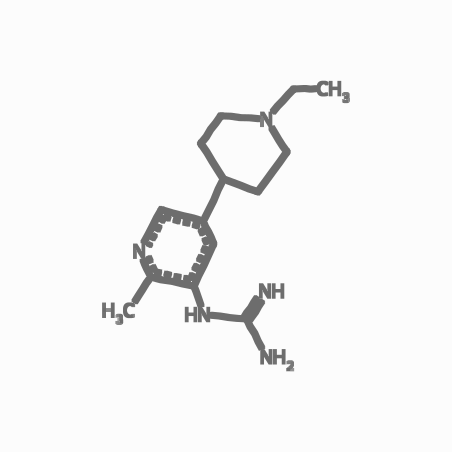 CCN1CCC(c2cnc(C)c(NC(=N)N)c2)CC1